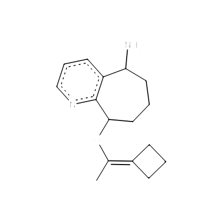 CC(OC1CCCC(N)c2cccnc21)=C1CCC1